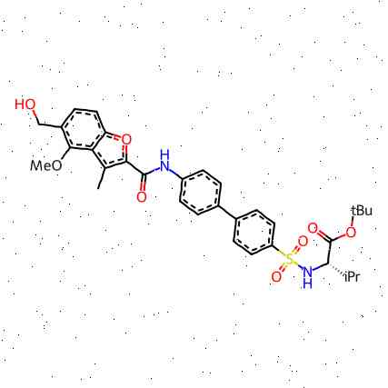 COc1c(CO)ccc2oc(C(=O)Nc3ccc(-c4ccc(S(=O)(=O)N[C@H](C(=O)OC(C)(C)C)C(C)C)cc4)cc3)c(C)c12